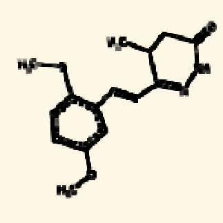 COc1ccc(SC)c(C=CC2=NNC(=O)CC2C)c1